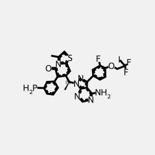 Cc1csc2cc([C@H](C)n3nc(-c4ccc(OCC(F)(F)I)c(F)c4)c4c(N)ncnc43)c(-c3cccc(P)c3)c(=O)n12